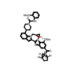 COc1ccccc1NC(=O)N1CCC(c2cccc3cc(-c4nc5cc(C(=O)N6C[C@H]7CC[C@@H]6[C@@H]7N)cc(OC)c5n4C)n(CC4CC4)c23)CC1